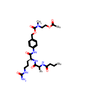 CC(C)C(NC(=O)CCC(C)(C)C)C(=O)N[C@@H](CCCNC(N)=O)C(=O)Nc1ccc(COC(=O)N(C)CCOC(=O)C(C)(C)C)cc1